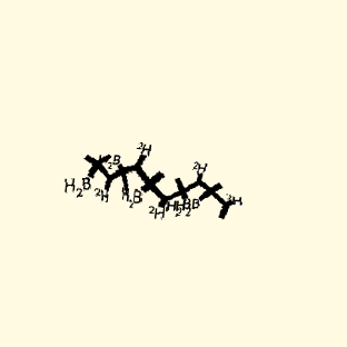 [2H]C(C)C(B)(C)C([2H])C(B)(C)C([2H])C(B)(C)C([2H])C(B)(C)C([2H])C(B)(C)C